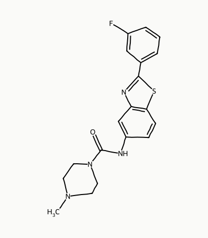 CN1CCN(C(=O)Nc2ccc3sc(-c4cccc(F)c4)nc3c2)CC1